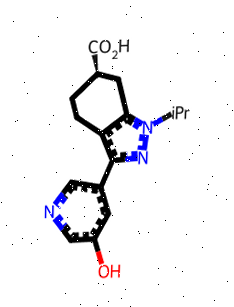 CC(C)n1nc(-c2cncc(O)c2)c2c1C[C@H](C(=O)O)CC2